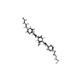 CCCCCCc1ccc(C#Cc2ccc(C#Cc3ccc(CCCCC)cc3)cc2F)cc1